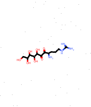 N=C(N)NCCCC(N)C(=O)C(=O)C(O)C(O)C(O)C(O)CO